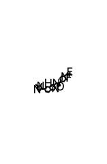 Cc1ncc(-c2ccc3cnc(NC(=O)C4CCN(CC(C)(F)F)CC4)cc3c2)n1C